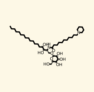 CCCCCCCCCCCCCC[C@@H](O)[C@@H](O)[C@H](CO[C@H]1O[C@H](CO)[C@H](O)[C@H](O)[C@H]1O)NC(=O)CCCCCCCCCCN1CCCCC1